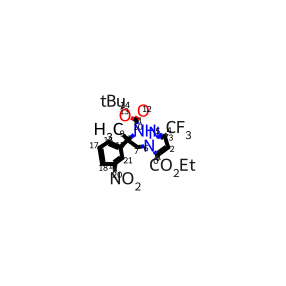 CCOC(=O)c1cc(C(F)(F)F)nn1CC(C)(NC(=O)OC(C)(C)C)c1cccc([N+](=O)[O-])c1